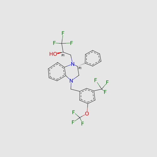 O[C@H](CN1c2ccccc2N(Cc2cc(OC(F)(F)F)cc(C(F)(F)F)c2)C[C@H]1c1ccccc1)C(F)(F)F